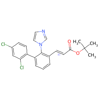 CC(C)(C)OC(=O)/C=C/c1cccc(-c2ccc(Cl)cc2Cl)c1-n1ccnc1